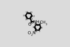 Cc1ccc([N+](=O)[O-])cc1NC(=O)c1ccccc1